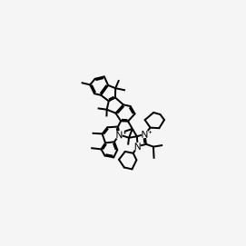 Cc1ccc2c(c1)C1=C(c3ccc4c(c3C1(C)C)-c1cc(C)c3c(C)cccc3[n+]1C1(C)C4(C)C13N(C1CCCCC1)C(C(C)C)=[N+]3C1CCCCC1)C2(C)C